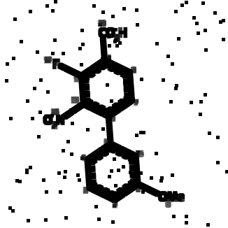 COc1cccc(-c2ccc(C(=O)O)c(F)c2[N+](=O)[O-])c1